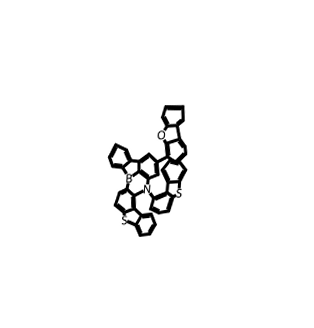 c1ccc2c(c1)B1c3ccc4sc5ccccc5c4c3N(c3cccc4sc5ccccc5c34)c3cc(-c4cccc5c4oc4ccccc45)cc-2c31